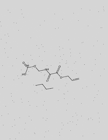 C=CCOC(=O)C(=O)NCO[PH](=O)O.CCCC